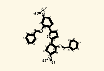 O=[N+]([O-])c1ccc(-c2ccc(-c3ccc([N+](=O)[O-])cc3OCc3ccccc3)o2)c(OCc2ccccc2)c1